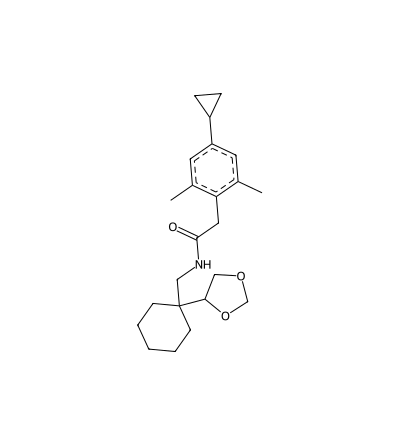 Cc1cc(C2CC2)cc(C)c1CC(=O)NCC1(C2COCO2)CCCCC1